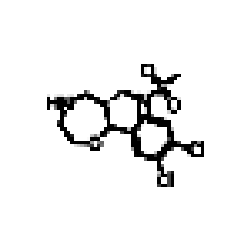 CS(=O)(=O)NC[C@H]1CNCCOC1c1ccc(Cl)c(Cl)c1